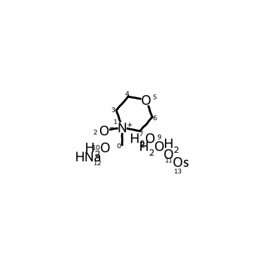 C[N+]1([O-])CCOCC1.O.O.O.O.[NaH].[Os]